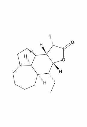 CC[C@@H]1[C@H]2CCCCN3CC[C@@H]([C@H]4[C@@H]1OC(=O)[C@H]4C)[C@@H]23